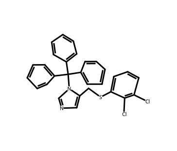 Clc1cccc(SCc2cncn2C(c2ccccc2)(c2ccccc2)c2ccccc2)c1Cl